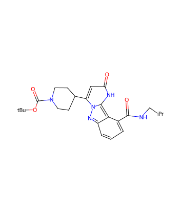 CC(C)CNC(=O)c1cccc2nn3c(C4CCN(C(=O)OC(C)(C)C)CC4)cc(=O)[nH]c3c12